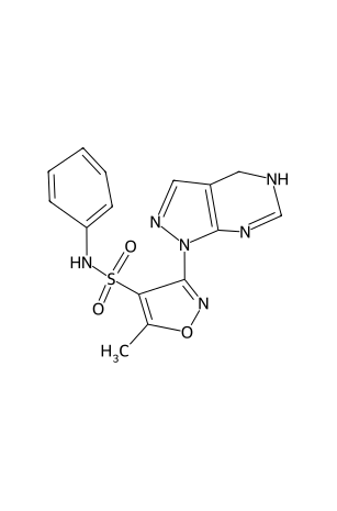 Cc1onc(-n2ncc3c2N=CNC3)c1S(=O)(=O)Nc1ccccc1